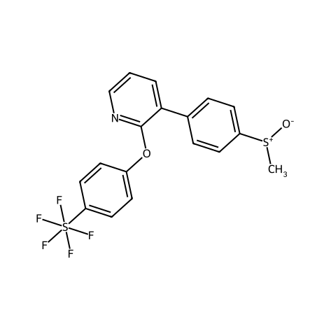 C[S+]([O-])c1ccc(-c2cccnc2Oc2ccc(S(F)(F)(F)(F)F)cc2)cc1